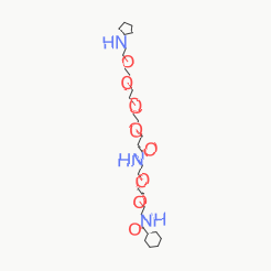 O=C(CCOCCOCCOCCOCCNC1CCCC1)NCCOCCOCCNC(=O)C1CCCCC1